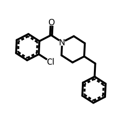 O=C(c1ccccc1Cl)N1CCC(Cc2ccccc2)CC1